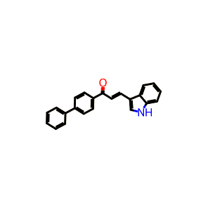 O=C(C=Cc1c[nH]c2ccccc12)c1ccc(-c2ccccc2)cc1